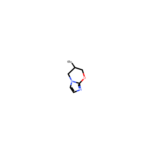 CC(C)(C)C1COc2nccn2C1